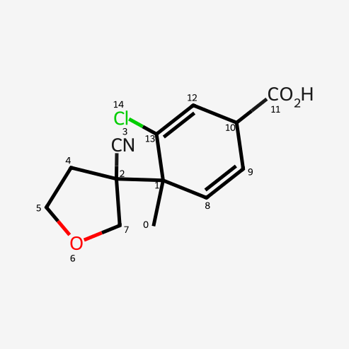 CC1(C2(C#N)CCOC2)C=CC(C(=O)O)C=C1Cl